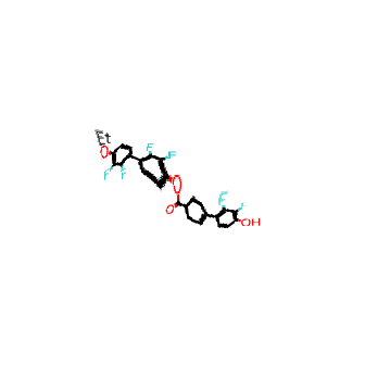 CCOc1ccc(-c2ccc(OC(=O)C3CC=C(c4ccc(O)c(F)c4F)CC3)c(F)c2F)c(F)c1F